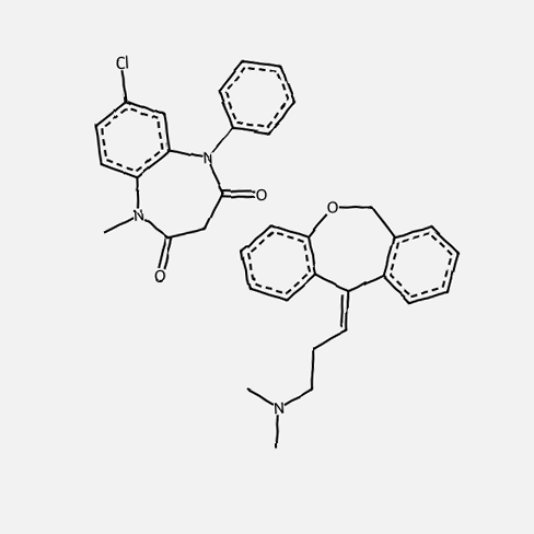 CN(C)CCC=C1c2ccccc2COc2ccccc21.CN1C(=O)CC(=O)N(c2ccccc2)c2cc(Cl)ccc21